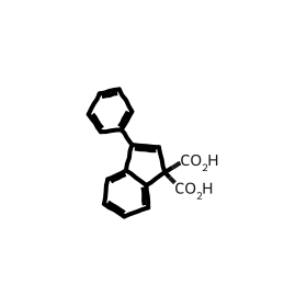 O=C(O)C1(C(=O)O)C=C(c2ccccc2)c2ccccc21